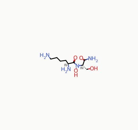 NCCCC[C@H](N)C(=O)N(O)[C@@H](CO)C(N)=O